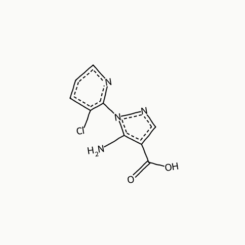 Nc1c(C(=O)O)cnn1-c1ncccc1Cl